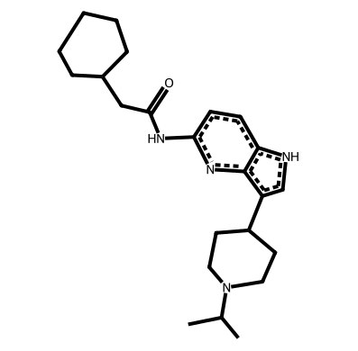 CC(C)N1CCC(c2c[nH]c3ccc(NC(=O)CC4CCCCC4)nc23)CC1